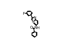 O=C(Nc1ccc2nc(-c3cccc(F)c3)cn2c1)c1ccccc1